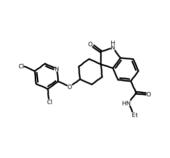 CCNC(=O)c1ccc2c(c1)C1(CCC(Oc3ncc(Cl)cc3Cl)CC1)C(=O)N2